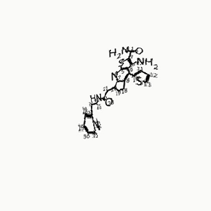 NC(=O)c1sc2nc3c(c(-c4cccs4)c2c1N)CCC3CC(=O)NCCc1ccccn1